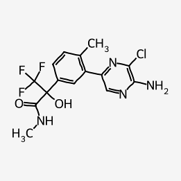 CNC(=O)C(O)(c1ccc(C)c(-c2cnc(N)c(Cl)n2)c1)C(F)(F)F